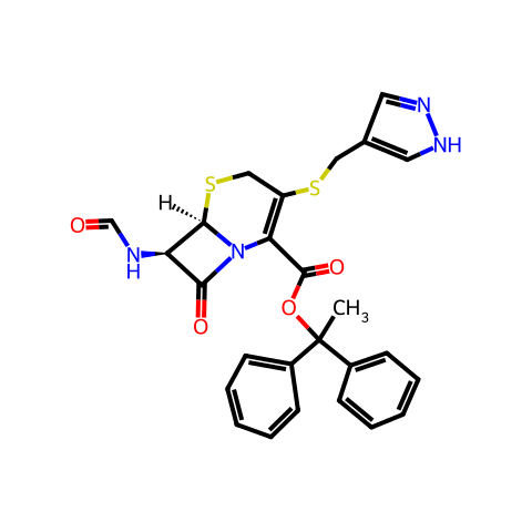 CC(OC(=O)C1=C(SCc2cn[nH]c2)CS[C@@H]2[C@H](NC=O)C(=O)N12)(c1ccccc1)c1ccccc1